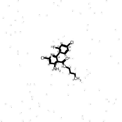 CCCCOC(=O)c1c(N)cc(Cl)nc1-c1ccc(Cl)cc1F